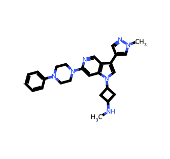 CNC1CC(n2cc(-c3cnn(C)c3)c3cnc(N4CCN(c5cc[c]cc5)CC4)cc32)C1